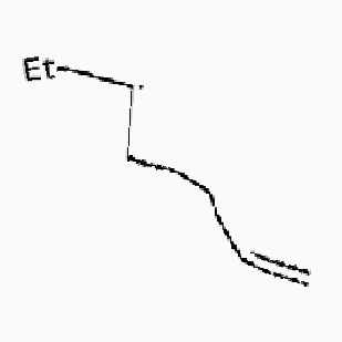 C=CCC[CH]CC